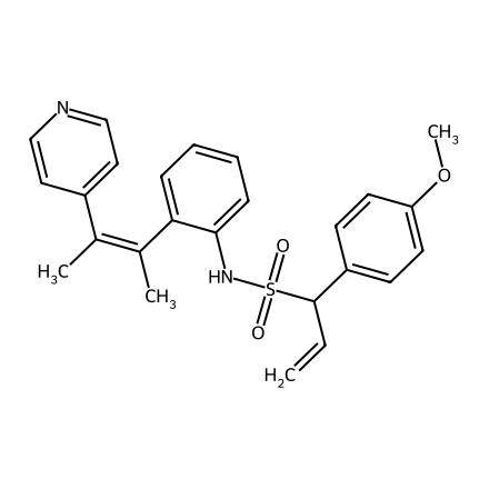 C=CC(c1ccc(OC)cc1)S(=O)(=O)Nc1ccccc1C(C)=C(C)c1ccncc1